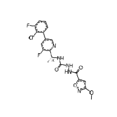 COc1cc(C(=O)NNC(=O)N[C@H](C)c2ncc(-c3cccc(F)c3Cl)cc2F)on1